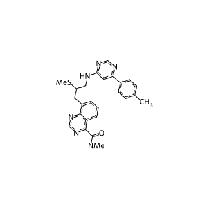 CNC(=O)c1ncnc2c(CC(CNc3cc(-c4ccc(C)cc4)ncn3)SC)cccc12